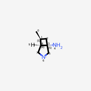 C[C@H]1C[C@@]2(N)C[N]C[C@@H]12